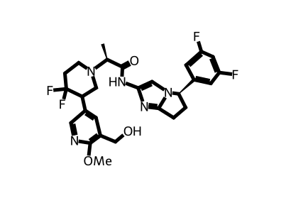 COc1ncc(C2CN([C@@H](C)C(=O)Nc3cn4c(n3)CC[C@@H]4c3cc(F)cc(F)c3)CCC2(F)F)cc1CO